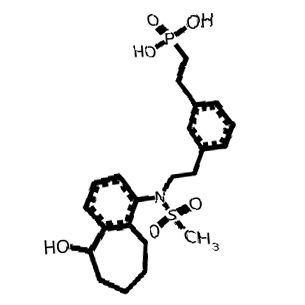 CS(=O)(=O)N(CCc1cccc(CCP(=O)(O)O)c1)c1cccc2c1CCCCC2O